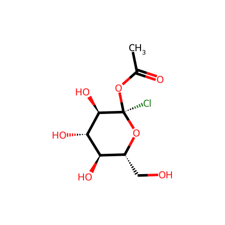 CC(=O)O[C@@]1(Cl)O[C@H](CO)[C@@H](O)[C@H](O)[C@H]1O